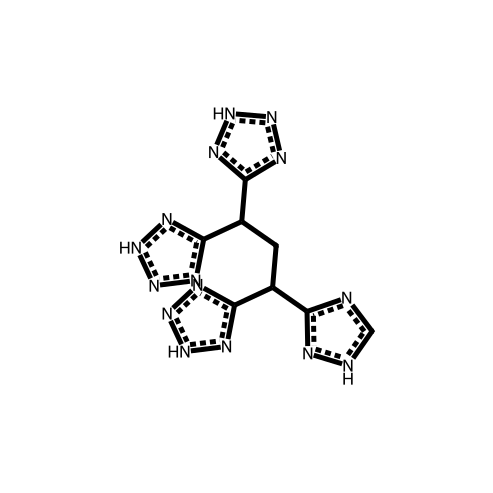 c1nc(C(CC(c2nn[nH]n2)c2nn[nH]n2)c2nn[nH]n2)n[nH]1